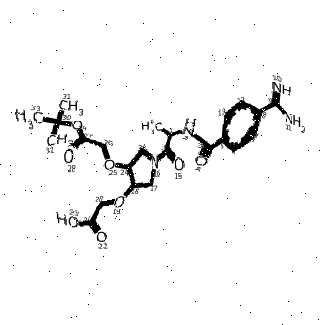 CC(NC(=O)c1ccc(C(=N)N)cc1)C(=O)N1CC(OCC(=O)O)C(OCC(=O)OC(C)(C)C)C1